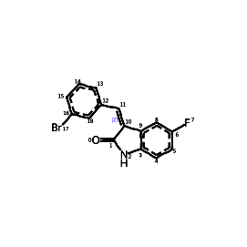 O=C1Nc2ccc(F)cc2/C1=C/c1cccc(Br)c1